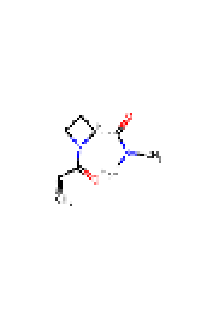 C=CC(=O)N1CC[C@@H]1C(=O)N(C)C